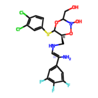 N/C(=C\NC[C@@H]1ON(O)C(CO)OC1Sc1ccc(Cl)c(Cl)c1)c1cc(F)c(F)c(F)c1